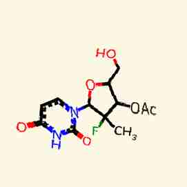 CC(=O)OC1C(CO)OC(n2ccc(=O)[nH]c2=O)C1(C)F